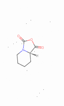 O=C1OC(=O)N2CCCC[C@@H]12